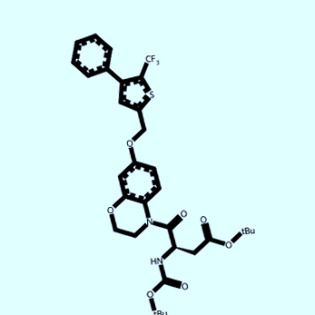 CC(C)(C)OC(=O)C[C@@H](NC(=O)OC(C)(C)C)C(=O)N1CCOc2cc(OCc3cc(-c4ccccc4)c(C(F)(F)F)s3)ccc21